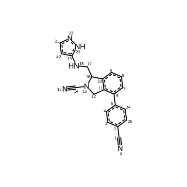 N#Cc1ccc(-c2cccc3c2CN(C#N)C3CNc2ccn[nH]2)cc1